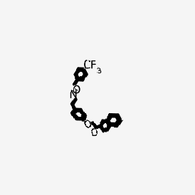 O=C(COc1ccc(CC=NOCc2ccc(C(F)(F)F)cc2)cc1)c1ccc2ccccc2c1